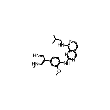 CN/C=C(\C=N)c1ccc(Nc2ncc3ccnc(NCC(C)C)c3n2)c(OC)c1